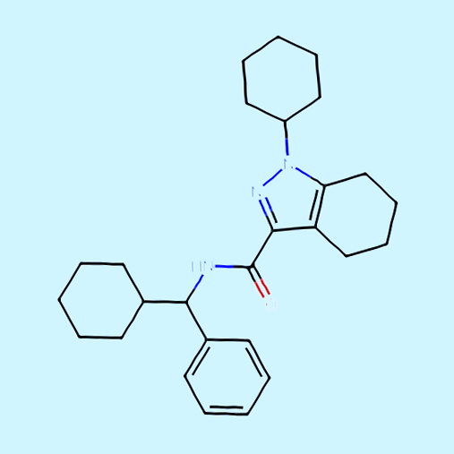 O=C(NC(c1ccccc1)C1CCCCC1)c1nn(C2CCCCC2)c2c1CCCC2